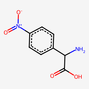 NC(C(=O)O)c1ccc([N+](=O)[O-])cc1